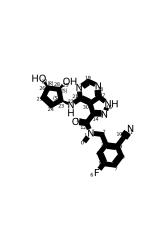 CN(Cc1cc(F)ccc1C#N)C(=O)c1n[nH]c2ncnc(N[C@H]3C=C[C@@H](O)[C@H]3O)c12